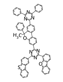 CC1(c2ccccc2)Oc2cc(-c3nc(-c4ccc5sc6ccccc6c5c4)nc(-c4cccc5c4oc4ccccc45)n3)ccc2-c2ccc(-c3nc(-c4ccccc4)nc(-c4ccccc4)n3)cc21